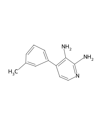 Cc1cccc(-c2ccnc(N)c2N)c1